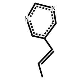 CC=Cc1cncnc1